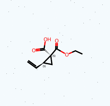 C=C[C@@H]1C[C@]1(C(=O)O)C(=O)OCC